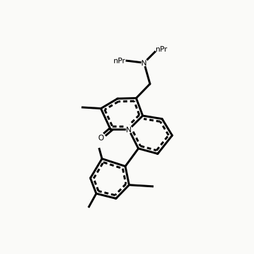 CCCN(CCC)Cc1cc(C)c(=O)n2c(-c3c(C)cc(C)cc3C)cccc12